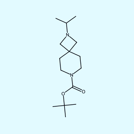 CC(C)N1CC2(CCN(C(=O)OC(C)(C)C)CC2)C1